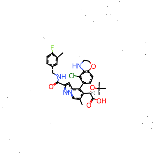 Cc1cc(CNC(=O)c2cc3c(-c4ccc5c(c4Cl)NCCO5)c([C@H](OC(C)(C)C)C(=O)O)c(C)cn3n2)ccc1F